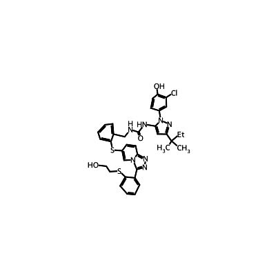 CCC(C)(C)c1cc(NC(=O)NCc2ccccc2Sc2ccc3nnc(-c4ccccc4SCCO)n3c2)n(-c2ccc(O)c(Cl)c2)n1